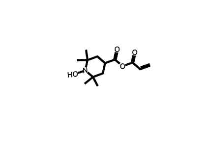 C=CC(=O)OC(=O)C1CC(C)(C)N(O)C(C)(C)C1